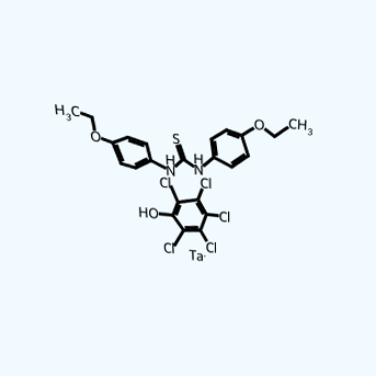 CCOc1ccc(NC(=S)Nc2ccc(OCC)cc2)cc1.Oc1c(Cl)c(Cl)c(Cl)c(Cl)c1Cl.[Ta]